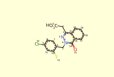 O=C(O)Cc1nn(Cc2ccc(Cl)cc2F)c(=O)c2ccccc12